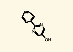 Oc1cnc(-c2cc[c]cc2)nc1